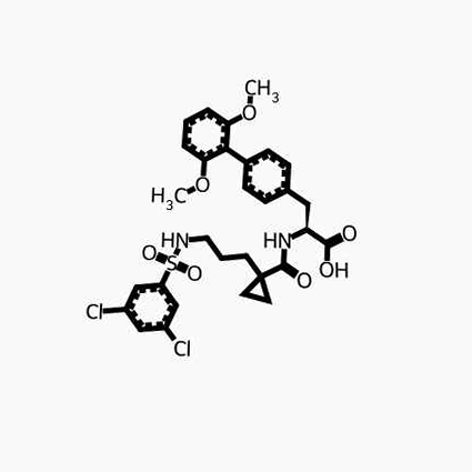 COc1cccc(OC)c1-c1ccc(C[C@H](NC(=O)C2(CCCNS(=O)(=O)c3cc(Cl)cc(Cl)c3)CC2)C(=O)O)cc1